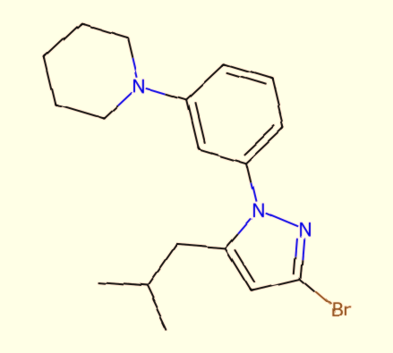 CC(C)Cc1cc(Br)nn1-c1cccc(N2CCCCC2)c1